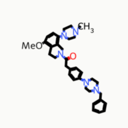 COc1ccc(N2CCN(C)CC2)c2c1CCN(C(=O)Cc1ccc(N3CCN(Cc4ccccc4)CC3)cc1)C2